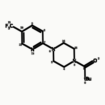 CC(C)(C)C(=O)N1CCN(c2ccc(C(F)(F)F)cn2)CC1